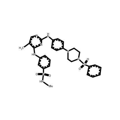 Cc1cnc(Nc2ccc(N3CCN(S(=O)(=O)c4ccccc4)CC3)cc2)nc1Nc1cccc(S(=O)(=O)NC(C)(C)C)c1